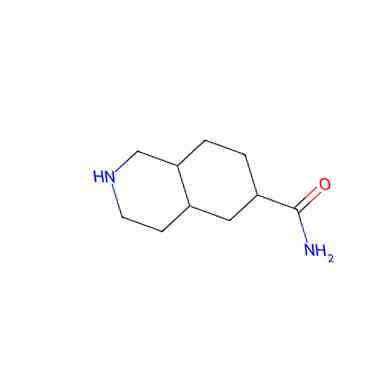 NC(=O)C1CCC2CNCCC2C1